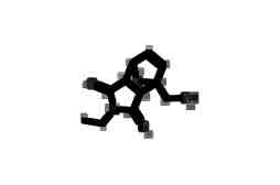 CCN1C(=O)C2C3C=CC(CO)(O3)C2C1=O